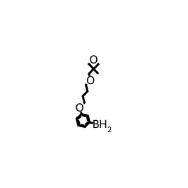 Bc1cccc(OCCCCOCC2(C)COC2)c1